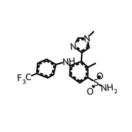 Cc1c(S(N)(=O)=O)ccc(Nc2ccc(C(F)(F)F)cc2)c1-c1cn(C)cn1